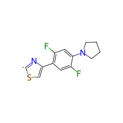 Fc1cc(N2CCCC2)c(F)cc1-c1cs[c]n1